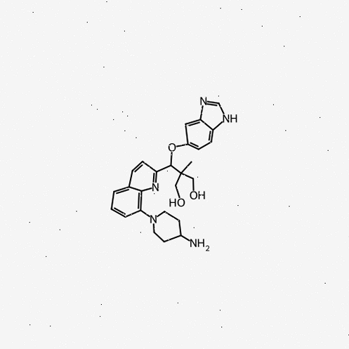 CC(CO)(CO)C(Oc1ccc2[nH]cnc2c1)c1ccc2cccc(N3CCC(N)CC3)c2n1